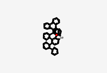 c1ccc(-c2ccccc2-c2ccc3[se]c4ccccc4c3c2-c2ccccc2-c2cccc3c4ccccc4c4ccccc4c23)cc1